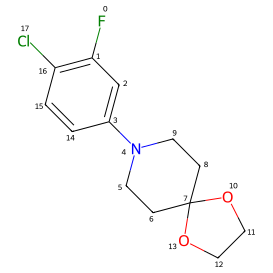 Fc1cc(N2CCC3(CC2)OCCO3)ccc1Cl